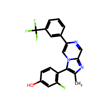 Cc1nc2cnc(-c3cccc(C(F)(F)F)c3)cn2c1-c1ccc(O)cc1F